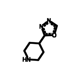 c1nnc(C2CCNCC2)o1